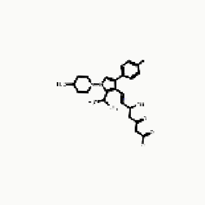 CC1CCN(n2cc(-c3ccc(F)cc3)c(/C=C/C(O)CC(=O)CC(=O)O)c2C(C)C)CC1